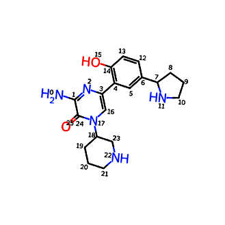 Nc1nc(-c2cc(C3CCCN3)ccc2O)cn(C2CCCNC2)c1=O